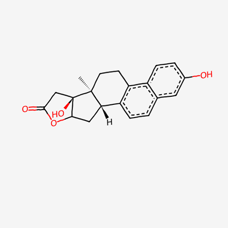 C[C@]12CCc3c(ccc4cc(O)ccc34)[C@@H]1CC1OC(=O)C[C@@]12O